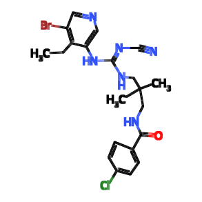 CCc1c(Br)cncc1NC(=NC#N)NCC(C)(C)CNC(=O)c1ccc(Cl)cc1